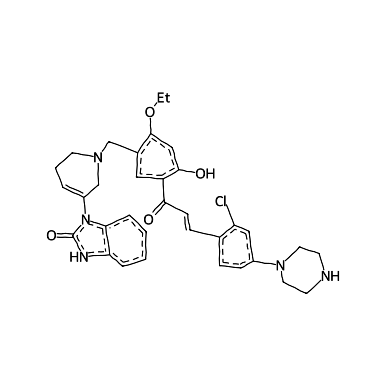 CCOc1cc(O)c(C(=O)/C=C/c2ccc(N3CCNCC3)cc2Cl)cc1CN1CCC=C(n2c(=O)[nH]c3ccccc32)C1